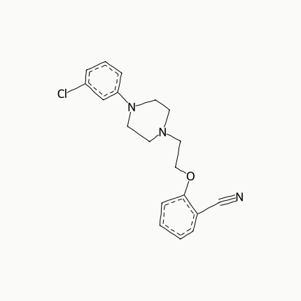 N#Cc1ccccc1OCCN1CCN(c2cccc(Cl)c2)CC1